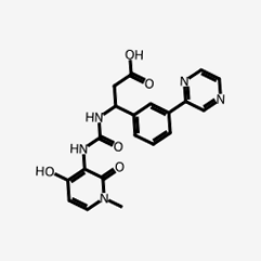 Cn1ccc(O)c(NC(=O)NC(CC(=O)O)c2cccc(-c3cnccn3)c2)c1=O